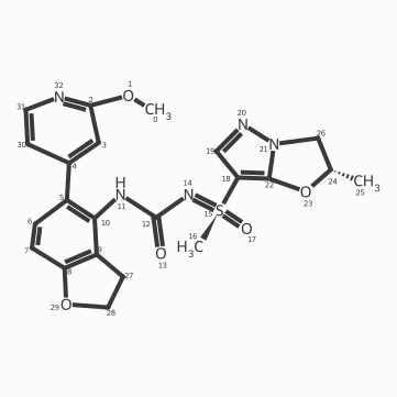 COc1cc(-c2ccc3c(c2NC(=O)N=[S@@](C)(=O)c2cnn4c2O[C@@H](C)C4)CCO3)ccn1